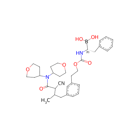 CC(Cc1cccc(CCOC(=O)N[C@@H](Cc2ccccc2)B(O)O)c1)C(C#N)C(=O)N(C1CCOCC1)C1CCOCC1